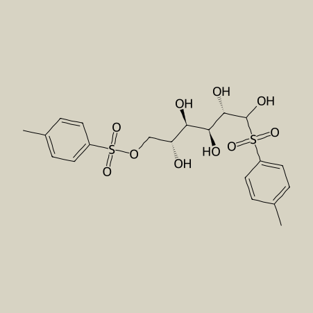 Cc1ccc(S(=O)(=O)OC[C@@H](O)[C@@H](O)[C@H](O)[C@H](O)C(O)S(=O)(=O)c2ccc(C)cc2)cc1